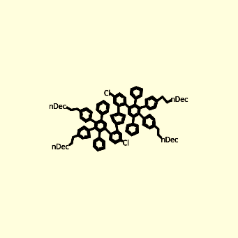 CCCCCCCCCCCCc1ccc(-c2c(-c3ccccc3)cc(-c3ccc(Cl)cc3-c3ccc(-c4cc(Cl)ccc4-c4cc(-c5ccccc5)c(-c5ccc(CCCCCCCCCCCC)cc5)c(-c5ccc(CCCCCCCCCCCC)cc5)c4-c4ccccc4)cc3)c(-c3ccccc3)c2-c2ccc(CCCCCCCCCCCC)cc2)cc1